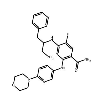 NCC(Cc1ccccc1)Nc1nc(Nc2ccc(N3CCOCC3)nc2)c(C(N)=O)cc1F